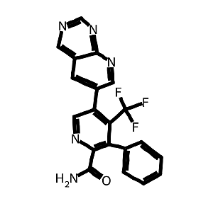 NC(=O)c1ncc(-c2cnc3ncncc3c2)c(C(F)(F)F)c1-c1ccccc1